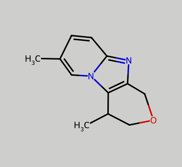 Cc1ccc2nc3c(n2c1)C(C)COC3